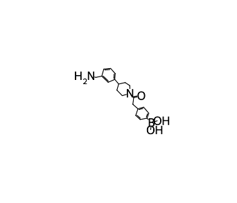 NCc1cccc(C2CCN(C(=O)Cc3ccc(B(O)O)cc3)CC2)c1